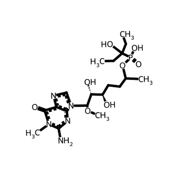 CCC(O)(CC)P(=O)(O)OC(C)CC[C@@H](O)[C@@H](O)[C@@H](OC)n1cnc2c(=O)n(C)c(N)nc21